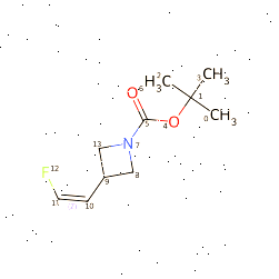 CC(C)(C)OC(=O)N1CC(/C=C\F)C1